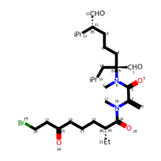 C=C(C(=O)N(C)[C@@](C=O)(CCC[C@@H](C=O)C(C)C)CC(C)C)N(C)C(=O)[C@H](CC)CCCC(=O)CCBr